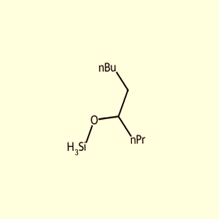 CCCCCC(CCC)O[SiH3]